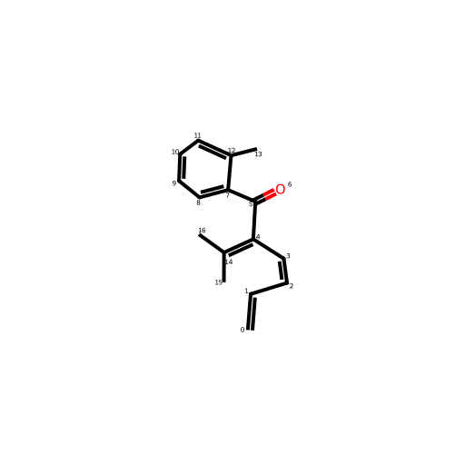 C=C/C=C\C(C(=O)c1ccccc1C)=C(C)C